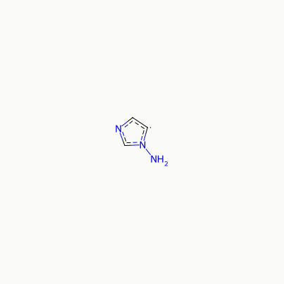 Nn1[c]cnc1